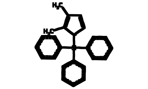 CC1=C(C)[C]([Si](c2ccccc2)(c2ccccc2)c2ccccc2)C=C1